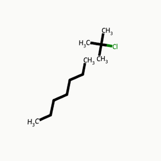 CC(C)(C)Cl.CCCCCCC